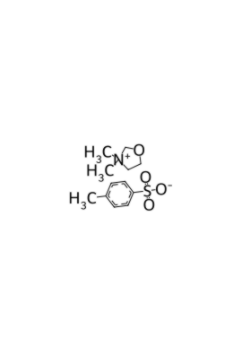 C[N+]1(C)CCOC1.Cc1ccc(S(=O)(=O)[O-])cc1